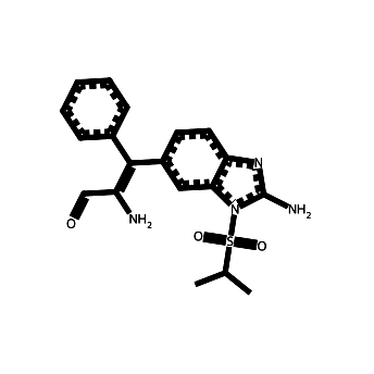 CC(C)S(=O)(=O)n1c(N)nc2ccc(C(=C(N)C=O)c3ccccc3)cc21